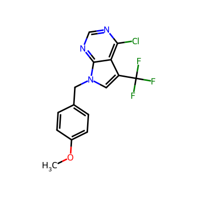 COc1ccc(Cn2cc(C(F)(F)F)c3c(Cl)ncnc32)cc1